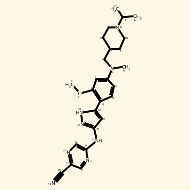 COc1cc(N(C)CC2CCN(C(C)C)CC2)ccc1-c1cc(Nc2cnc(C#N)cn2)n[nH]1